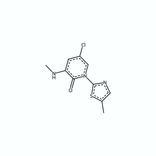 CNc1cc(Cl)cn(-c2ncc(C)s2)c1=O